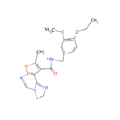 CCOc1ccc(CNC(=O)c2c(C)oc3c2C2=NCCN2C=N3)cc1OC